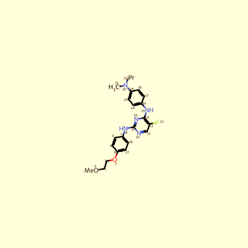 COCCOc1ccc(Nc2ncc(F)c(Nc3ccc(N(C)C(C)C)cc3)n2)cc1